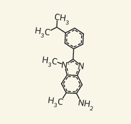 Cc1cc2c(cc1N)nc(-c1cccc(C(C)C)c1)n2C